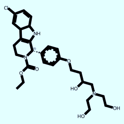 CCOC(=O)N1CCC2=C(NC3C=CC(Cl)=CC23)[C@@H]1c1ccc(OCCC(O)CN(CCO)CCO)cc1